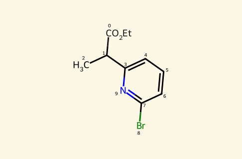 CCOC(=O)C(C)c1cccc(Br)n1